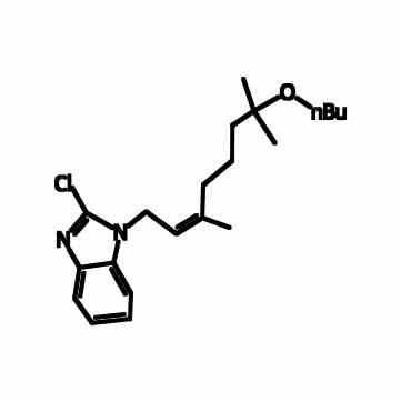 CCCCOC(C)(C)CCCC(C)=CCn1c(Cl)nc2ccccc21